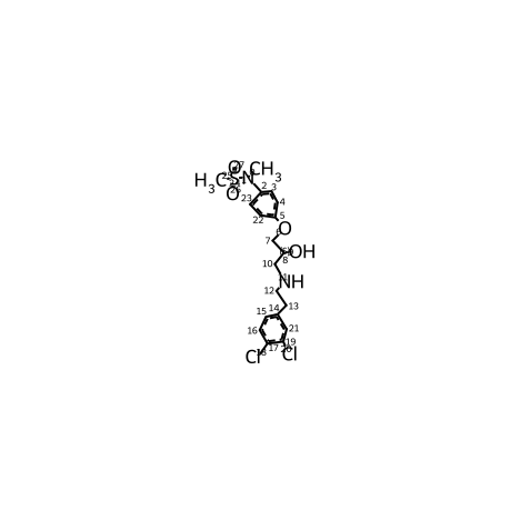 CN(c1ccc(OC[C@@H](O)CNCCc2ccc(Cl)c(Cl)c2)cc1)S(C)(=O)=O